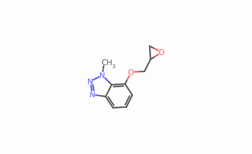 Cn1nnc2cccc(OCC3CO3)c21